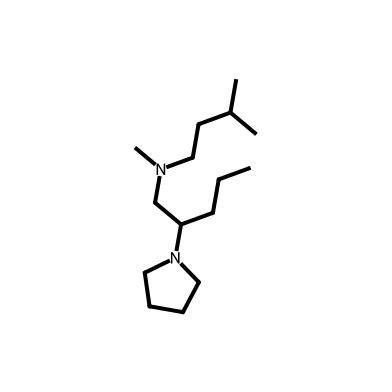 CCCC(CN(C)CCC(C)C)N1CCCC1